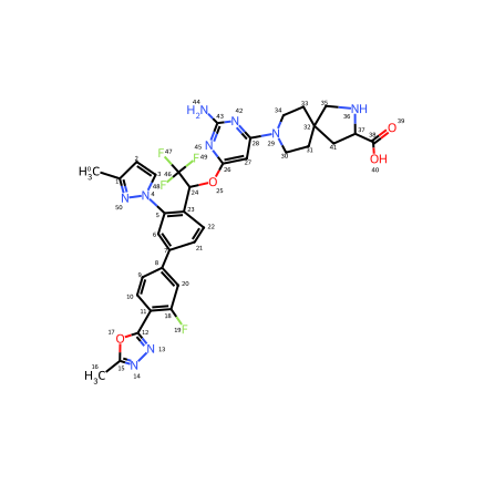 Cc1ccn(-c2cc(-c3ccc(-c4nnc(C)o4)c(F)c3)ccc2C(Oc2cc(N3CCC4(CC3)CNC(C(=O)O)C4)nc(N)n2)C(F)(F)F)n1